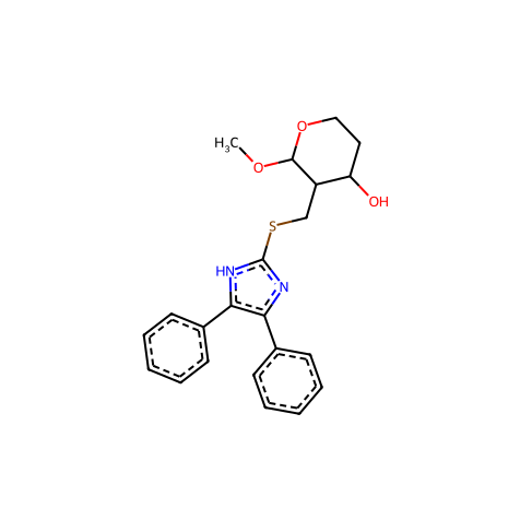 COC1OCCC(O)C1CSc1nc(-c2ccccc2)c(-c2ccccc2)[nH]1